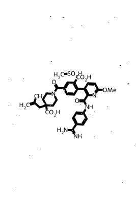 C=C(C)CC1(C(=O)O)CCN(C(=O)c2ccc(-c3ccc(OC)nc3C(=O)Nc3ccc(C(=N)N)cc3)c(C(=O)O)c2)CC1.CS(=O)(=O)O